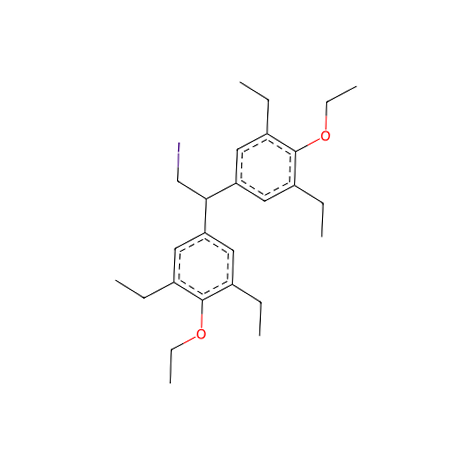 CCOc1c(CC)cc(C(CI)c2cc(CC)c(OCC)c(CC)c2)cc1CC